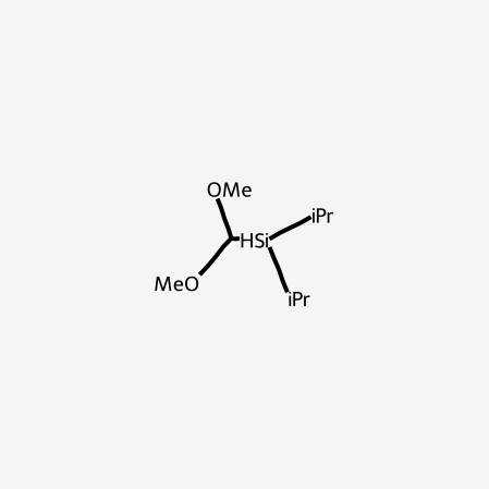 COC(OC)[SiH](C(C)C)C(C)C